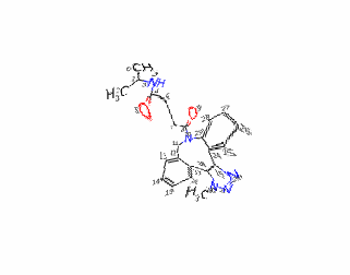 CC(C)NC(=O)CCC(=O)N1Cc2ccccc2C2C(N=NN2C)c2ccccc21